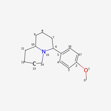 COc1ccc(C2CCCC3CCCCN32)cc1